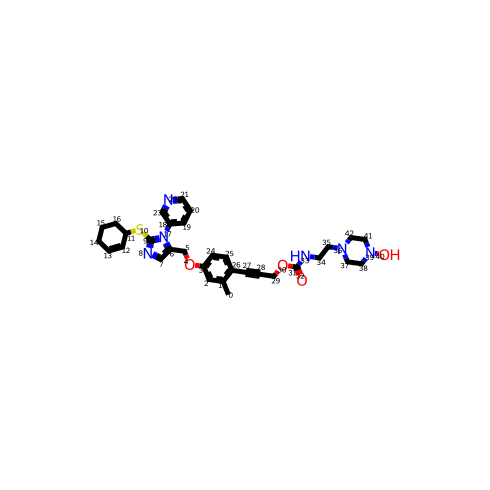 Cc1cc(OCc2cnc(SC3C=CCCC3)n2-c2cccnc2)ccc1C#CCOC(=O)NCCN1CCN(O)CC1